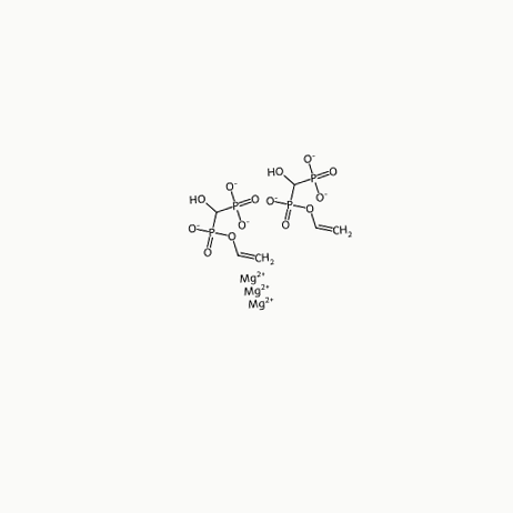 C=COP(=O)([O-])C(O)P(=O)([O-])[O-].C=COP(=O)([O-])C(O)P(=O)([O-])[O-].[Mg+2].[Mg+2].[Mg+2]